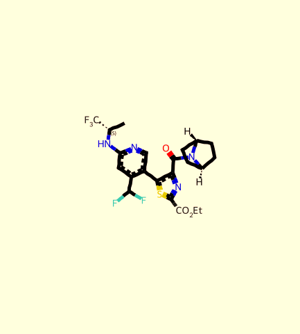 CCOC(=O)c1nc(C(=O)N2[C@H]3CC[C@H]2CC3)c(-c2cnc(N[C@@H](C)C(F)(F)F)cc2C(F)F)s1